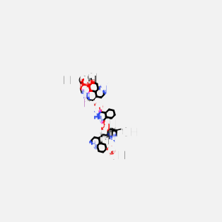 CCC1CN([C@@H](I)[C@H](COc2nnc(OC[C@H](c3ccnc4ccc(OC)cc34)[C@@H]3C[C@H]4CCN3CC4CC)c3ccccc23)c2ccnc3ccc(OC)cc23)CCC1C